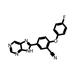 N#Cc1cc(-c2nc3cncnc3[nH]2)ccc1Oc1ccc(F)cc1